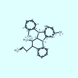 C=CCC1c2ccccc2N2c3nc(C(F)(F)F)cnc3N(c3ccccc3C)C2C1C